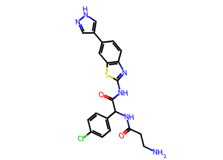 NCCC(=O)NC(C(=O)Nc1nc2ccc(-c3cn[nH]c3)cc2s1)c1ccc(Cl)cc1